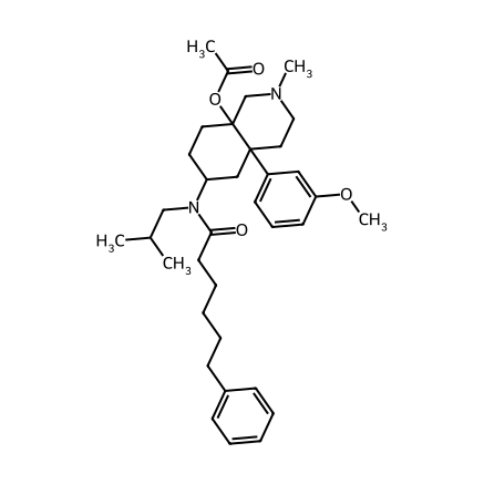 COc1cccc(C23CCN(C)CC2(OC(C)=O)CCC(N(CC(C)C)C(=O)CCCCCc2ccccc2)C3)c1